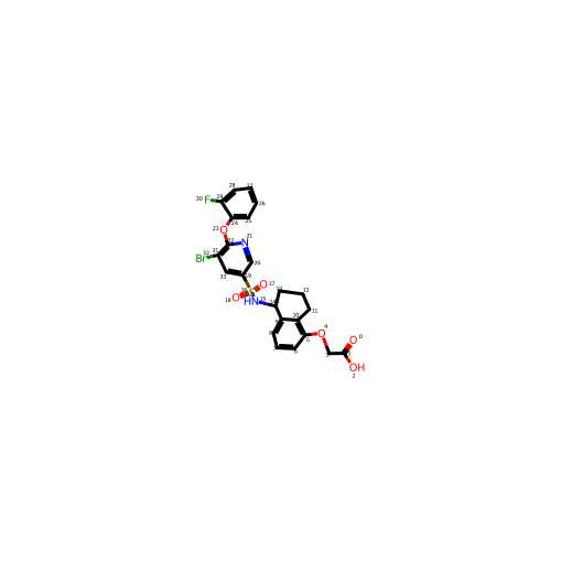 O=C(O)COc1cccc2c1CCCC2NS(=O)(=O)c1cnc(Oc2ccccc2F)c(Br)c1